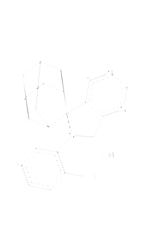 Cc1ccccc1N1[C@@H](C)c2ncncc2C12C1CC3CC(C1)CC2C3